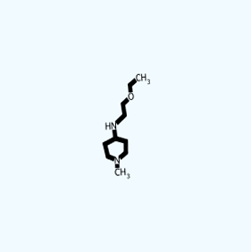 CCOCCNC1CCN(C)CC1